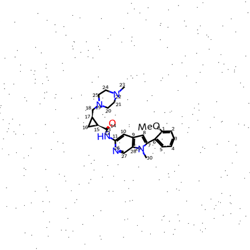 COc1ccccc1-c1cc2cc(NC(=O)[C@H]3C[C@H]3CN3CCN(C)CC3)ncc2n1C